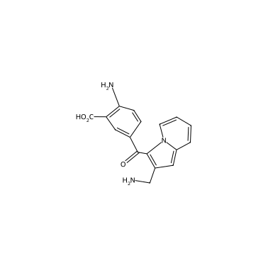 NCc1cc2ccccn2c1C(=O)c1ccc(N)c(C(=O)O)c1